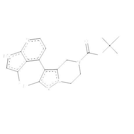 CC(C)(C)OC(=O)N1CCn2nc(Br)c(-c3ccnc4[nH]cc(F)c34)c2C1